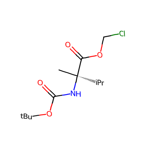 CC(C)[C@@](C)(NC(=O)OC(C)(C)C)C(=O)OCCl